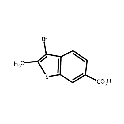 Cc1sc2cc(C(=O)O)ccc2c1Br